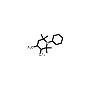 CC(=O)OC1CC(C)(C)N(C2CCCCC2)C(C)(C)C1OC(C)=O